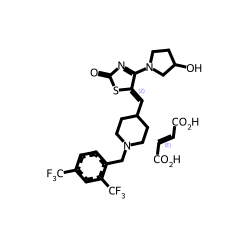 O=C(O)/C=C/C(=O)O.O=C1N=C(N2CCC(O)C2)/C(=C/C2CCN(Cc3ccc(C(F)(F)F)cc3C(F)(F)F)CC2)S1